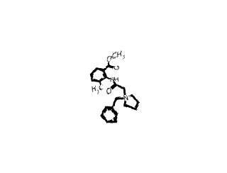 COC(=O)c1cccc(C)c1NC(=O)C[N+]1(Cc2ccccc2)CCCC1